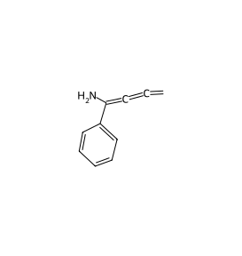 C=C=C=C(N)c1ccccc1